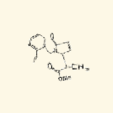 COC(=O)C(C)C1CCC(=O)N1Cc1ccccc1F